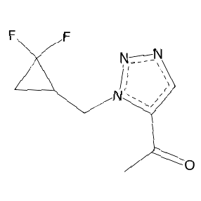 CC(=O)c1cnnn1CC1CC1(F)F